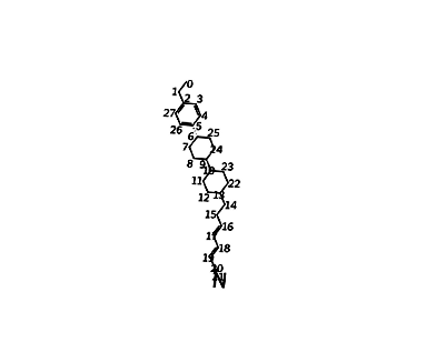 CCc1ccc([C@H]2CC[C@H](C3CCC(CC/C=C/C=C/C#N)CC3)CC2)cc1